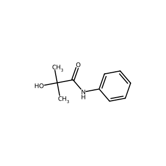 CC(C)(O)C(=O)Nc1ccccc1